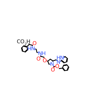 O=C(COC1CC(CNc2ccccn2)N(C(=O)OCc2ccccc2)C1)NCCNC(=O)C(C(=O)O)c1ccccc1